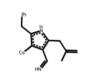 C=C(C)Cc1[nH]c(CC(C)C)[c]([Co])c1C=N